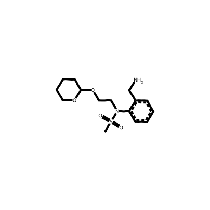 CS(=O)(=O)N(CCOC1CCCCO1)c1ccccc1CN